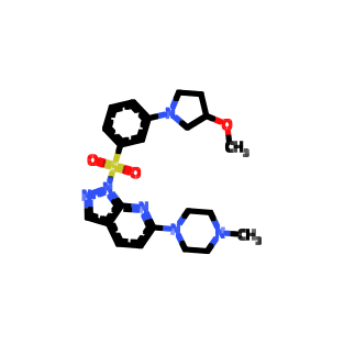 COC1CCN(c2cccc(S(=O)(=O)n3ncc4ccc(N5CCN(C)CC5)nc43)c2)C1